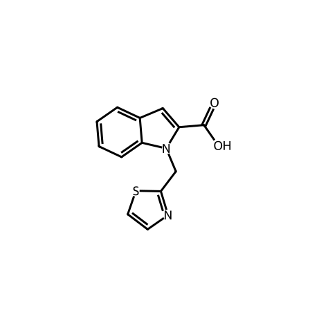 O=C(O)c1cc2ccccc2n1Cc1nccs1